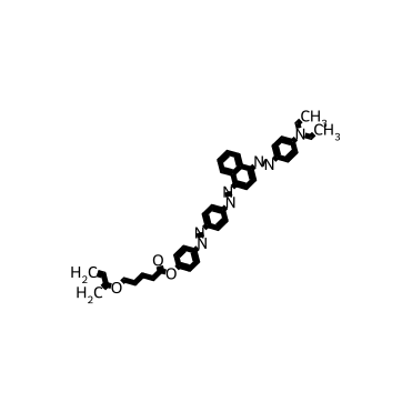 C=CC(=C)OCCCCC(=O)Oc1ccc(/N=N/c2ccc(/N=N/c3ccc(/N=N/c4ccc(N(CC)CC)cc4)c4ccccc34)cc2)cc1